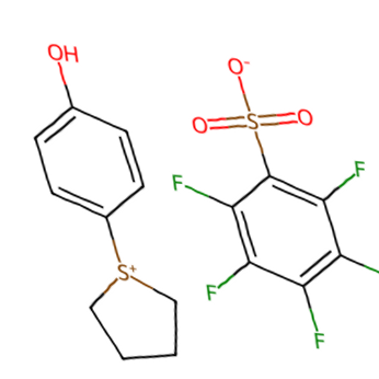 O=S(=O)([O-])c1c(F)c(F)c(F)c(F)c1F.Oc1ccc([S+]2CCCC2)cc1